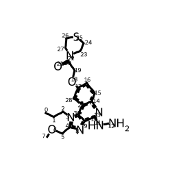 CCCn1c(COC)nc2c(NN)nc3ccc(OCC(=O)N4CCSCC4)cc3c21